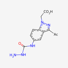 CC(=O)c1nn(CC(=O)O)c2ccc(NC(=O)NN)cc12